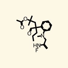 C=C(CN(C)c1ccccc1C(C=O)(CCC)CC(C)(C)OC(C)=O)NF